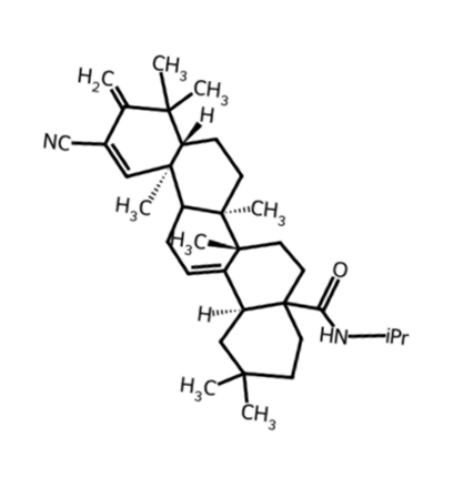 C=C1C(C#N)=C[C@]2(C)C3CC=C4[C@@H]5CC(C)(C)CCC5(C(=O)NC(C)C)CC[C@@]4(C)[C@]3(C)CC[C@H]2C1(C)C